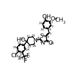 COc1cc(/C=C2\SC(N3CCC(O)(c4ccc(Cl)c(C(F)(F)F)c4)CC3)=NC2=O)ccc1O